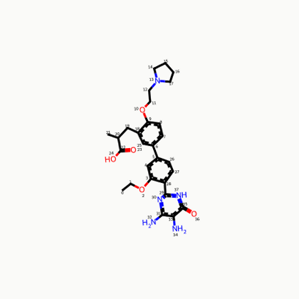 CCOc1cc(-c2ccc(OCCN3CCCC3)c(CC(C)C(=O)O)c2)ccc1-c1nc(N)c(N)c(=O)[nH]1